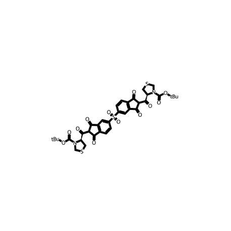 CC(C)(C)OC(=O)N1CSC[C@@H]1C(=O)C1C(=O)c2ccc(S(=O)(=O)c3ccc4c(c3)C(=O)C(C(=O)[C@H]3CSCN3C(=O)OC(C)(C)C)C4=O)cc2C1=O